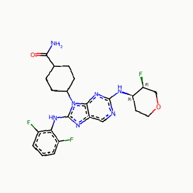 NC(=O)C1CCC(n2c(Nc3c(F)cccc3F)nc3cnc(N[C@@H]4CCOC[C@@H]4F)nc32)CC1